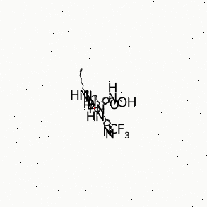 C#CCCCCCc1cn(C2(C)C=C/C(=C(\c3ccc(NC(=O)CO)cc3)c3ccc(NCc4ccc(C5(C(F)(F)F)N=N5)cc4)n3C)N2B(F)F)[nH]1